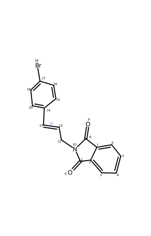 O=C1c2ccccc2C(=O)N1C/C=C/c1ccc(Br)cc1